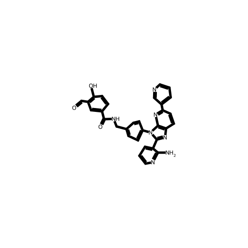 Nc1ncccc1-c1nc2ccc(-c3cccnc3)nc2n1-c1ccc(CNC(=O)c2ccc(O)c(C=O)c2)cc1